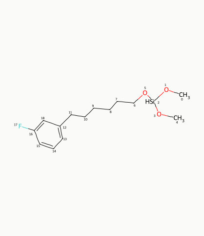 CO[SiH](OC)OCCCCCCc1cccc(F)c1